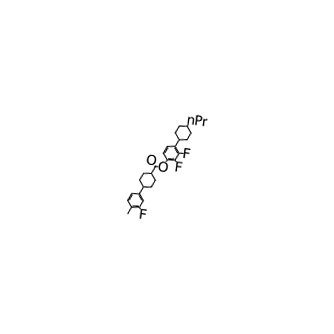 CCCC1CCC(c2ccc(OC(=O)C3CCC(c4ccc(C)c(F)c4)CC3)c(F)c2F)CC1